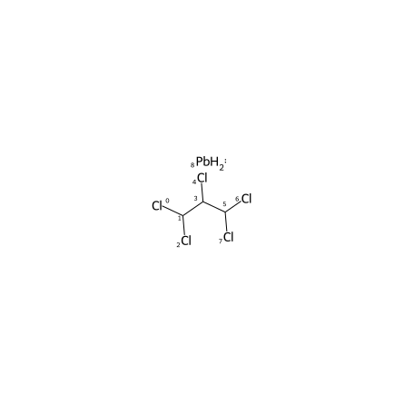 ClC(Cl)C(Cl)C(Cl)Cl.[PbH2]